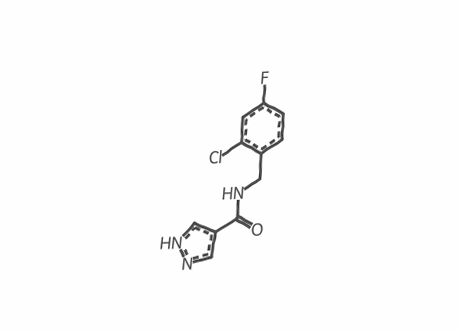 O=C(NCc1ccc(F)cc1Cl)c1cn[nH]c1